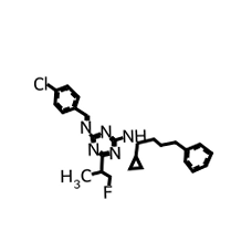 CC(CF)c1nc(N=Cc2ccc(Cl)cc2)nc(NC(CCCc2ccccc2)C2CC2)n1